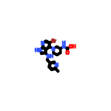 Cc1ccc(CNc2c[nH]c3ncc(Br)c(N4CCCC(NC(=O)O)C4)c23)cn1